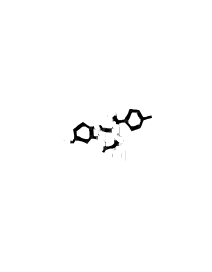 Cc1ccc(C(=O)/N=c2\sc3ccc(Cl)cc3n2C(C)C(=O)O)cc1